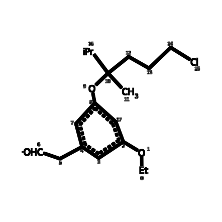 CCOc1cc(C[C]=O)cc(OC(C)(CCCCl)C(C)C)c1